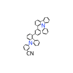 N#Cc1cccc(-n2c3ccccc3c3c(-c4cccc(-c5cccc6c7ccccc7n(-c7ccccc7)c56)c4)cccc32)c1